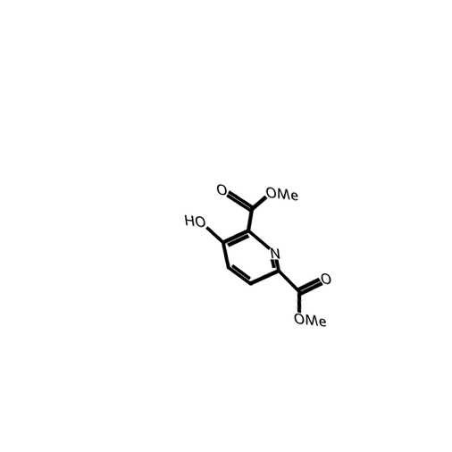 COC(=O)c1ccc(O)c(C(=O)OC)n1